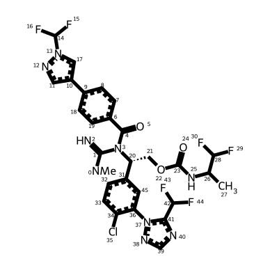 CNC(=N)N(C(=O)c1ccc(-c2cnn(C(F)F)c2)cc1)[C@H](COC(=O)NC(C)C(F)F)c1ccc(Cl)c(-n2ncnc2C(F)F)c1